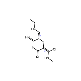 CCN/C=C(\C=N)C/C(C(=N)I)=C(\Cl)NC